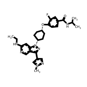 CCNc1cc2c(cn1)c(-c1cnn(C)c1)nn2[C@H]1CC[C@@H](Oc2ccc(C(=O)NC(C)C)cc2F)CC1